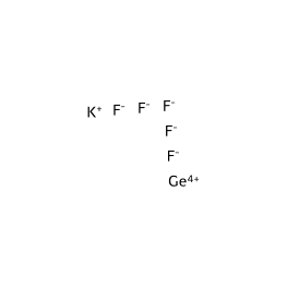 [F-].[F-].[F-].[F-].[F-].[Ge+4].[K+]